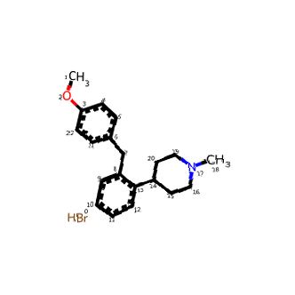 Br.COc1ccc(Cc2ccccc2C2CCN(C)CC2)cc1